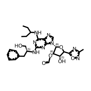 CCC(CC)Nc1nc(N[C@H](CO)Cc2ccccc2)nc2c1ncn2[C@@H]1OC(c2nc(C)no2)[C@@H](O)[C@H]1OC=O